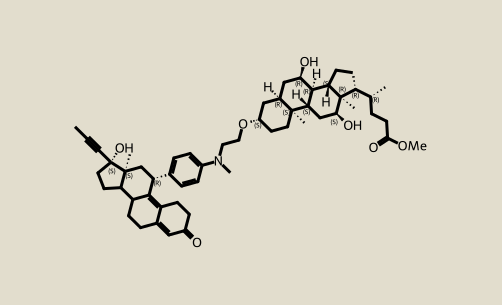 CC#C[C@]1(O)CCC2C3CCC4=CC(=O)CCC4=C3[C@@H](c3ccc(N(C)CCO[C@H]4CC[C@@]5(C)[C@@H](C4)C[C@@H](O)[C@@H]4[C@@H]5C[C@H](O)[C@]5(C)[C@@H]([C@H](C)CCC(=O)OC)CC[C@@H]45)cc3)C[C@@]21C